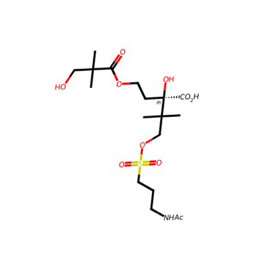 CC(=O)NCCCS(=O)(=O)OCC(C)(C)[C@](O)(CCOC(=O)C(C)(C)CO)C(=O)O